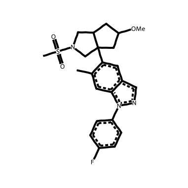 COC1CC2CN(S(C)(=O)=O)CC2(c2cc3cnn(-c4ccc(F)cc4)c3cc2C)C1